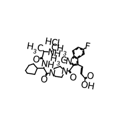 CNC(C)C(=O)NC(C(=O)N1CCN(C(=O)c2c(/C=C/C(=O)O)c3cc(F)ccc3n2C)CC1)C1CCCCC1.Cl